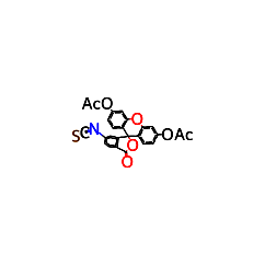 CC(=O)Oc1ccc2c(c1)Oc1cc(OC(C)=O)ccc1C21OC(=O)c2ccc(N=C=S)cc21